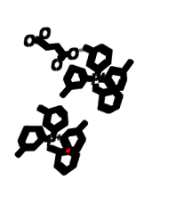 Cc1cccc([P+](Cc2ccccc2)(c2cccc(C)c2)c2cccc(C)c2)c1.Cc1cccc([P+](Cc2ccccc2)(c2cccc(C)c2)c2cccc(C)c2)c1.O=C([O-])CCC(=O)[O-]